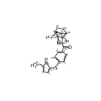 Cc1ccc(Sc2ccc(C(=O)N[C@@H]3C4CCN(CC4)[C@H]3C)cc2)[nH]1